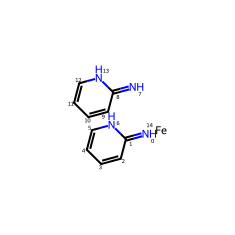 N=c1cccc[nH]1.N=c1cccc[nH]1.[Fe]